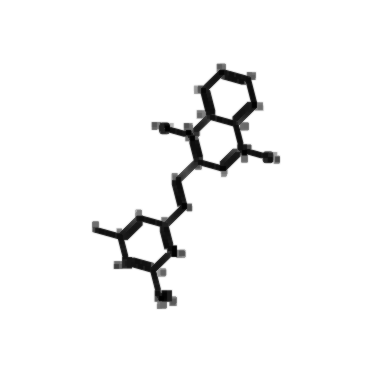 Cc1cc(/C=C/c2c[n+]([O-])c3ccccc3[n+]2[O-])nc(N)n1